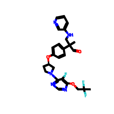 CC(F)(F)COc1ncnc(N2CC[C@@H](Oc3ccc(C(C)(C=O)CNc4cccnc4)cc3)C2)c1F